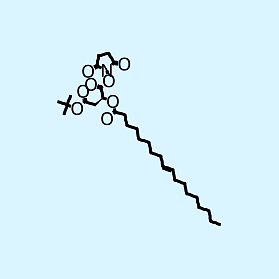 CCCCCCCCC=CCCCCCCCC(=O)O[C@@H](CC(=O)OC(C)(C)C)C(=O)ON1C(=O)CCC1=O